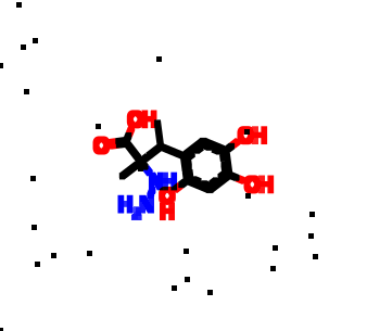 CC(c1cc(O)c(O)cc1O)C(C)(NN)C(=O)O